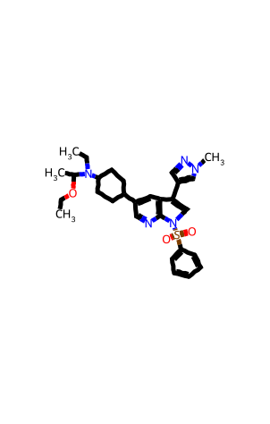 CCOC(C)N(CC)C1CCC(c2cnc3c(c2)c(-c2cnn(C)c2)cn3S(=O)(=O)c2ccccc2)CC1